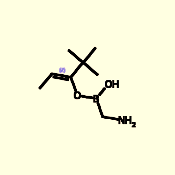 C/C=C(\OB(O)CN)C(C)(C)C